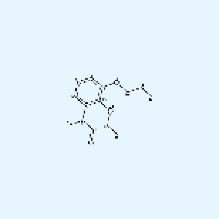 [CH2]C(C=C)c1cccc(OCCC)c1OCC